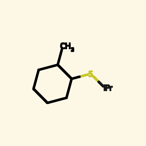 CC(C)SC1CCCCC1C